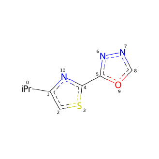 CC(C)c1csc(-c2nnco2)n1